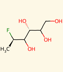 C[C@@H](F)C(O)[C@H](O)C(O)CO